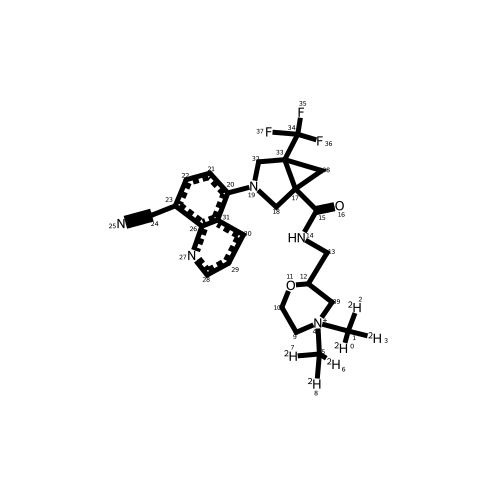 [2H]C([2H])([2H])[N+]1(C([2H])([2H])[2H])CCOC(CNC(=O)C23CN(c4ccc(C#N)c5ncccc45)CC2(C(F)(F)F)C3)C1